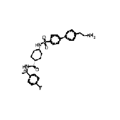 C[C@@H](NC(=O)[C@H]1CC[C@H](NS(=O)(=O)c2ccc(-c3ccc(CCN)cc3)cc2)CC1)c1ccc(F)cc1